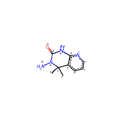 CC1(C)c2cccnc2NC(=O)N1N